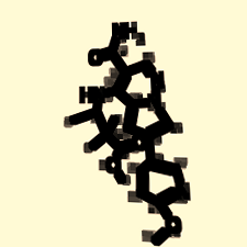 COC(=O)C(C)(C)C(C)Nc1c(C(N)=O)cnn2cc(-c3ccc(OC)nc3)cc12